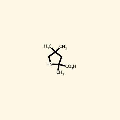 CC1(C)CNC(C)(C(=O)O)C1